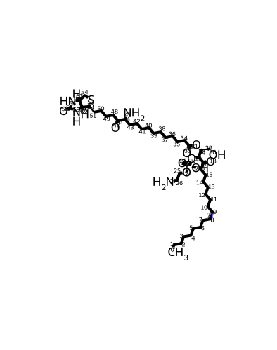 CCCCCCCC/C=C\CCCCCCCC(=O)C(OP(=O)(O)OCCN)[C@H](CO)OC(=O)CCCCCCCCCCC(N)C(=O)CCCC[C@@H]1SC[C@@H]2NC(=O)N[C@@H]21